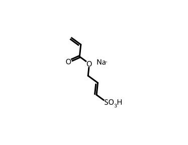 C=CC(=O)OCC=CS(=O)(=O)O.[Na]